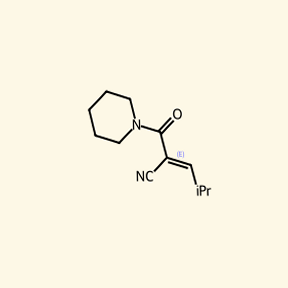 CC(C)/C=C(\C#N)C(=O)N1CCCCC1